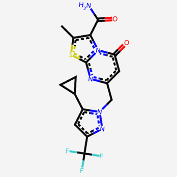 Cc1sc2nc(Cn3nc(C(F)(F)F)cc3C3CC3)cc(=O)n2c1C(N)=O